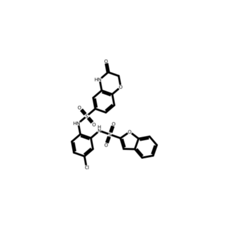 O=C1COc2ccc(S(=O)(=O)Nc3ccc(Cl)cc3NS(=O)(=O)c3cc4ccccc4o3)cc2N1